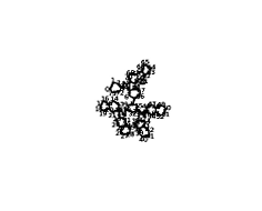 c1ccc(-n2c3cc(-c4cc(N(c5ccc6ccccc6c5)c5ccc6ccccc6c5)cc(N(c5ccc6ccccc6c5)c5ccc6ccccc6c5)c4)ccc3c3c4sc5ccccc5c4ccc32)cc1